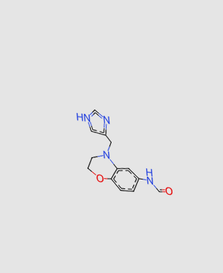 O=CNc1ccc2c(c1)N(Cc1c[nH]cn1)CCO2